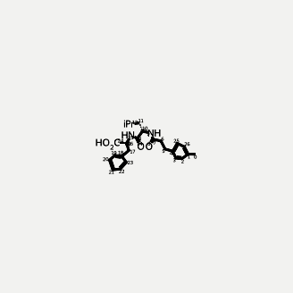 Cc1ccc(CCC(=O)N[C@@H](CC(C)C)C(=O)N[C@@H](Cc2ccccc2)C(=O)O)cc1